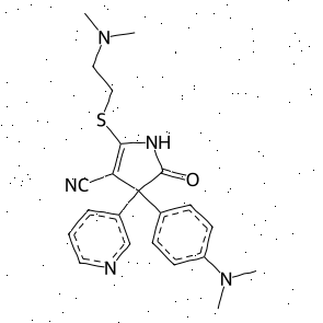 CN(C)CCSC1=C(C#N)C(c2ccc(N(C)C)cc2)(c2cccnc2)C(=O)N1